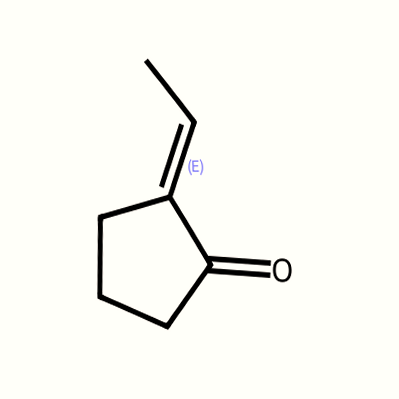 C/C=C1\CCCC1=O